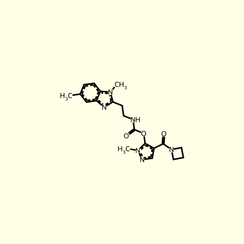 Cc1ccc2c(c1)nc(CCNC(=O)Oc1c(C(=O)N3CCC3)cnn1C)n2C